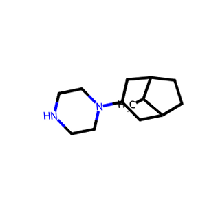 CC1C2CCC1CC(N1CCNCC1)C2